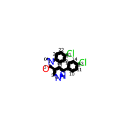 CN(C(=O)c1cnnc(-c2ccc(Cl)cc2)c1)c1ccc(Cl)cc1